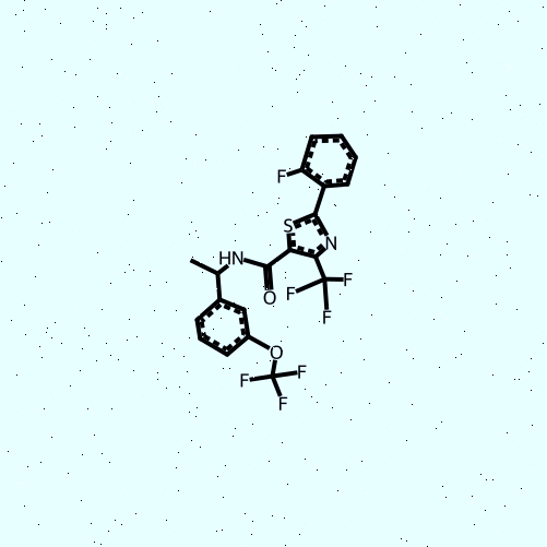 CC(NC(=O)c1sc(-c2ccccc2F)nc1C(F)(F)F)c1cccc(OC(F)(F)F)c1